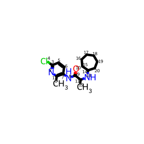 Cc1nc(Cl)ccc1NC(=O)C(C)NC1CCCCCC1